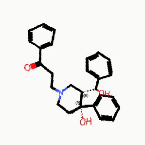 O=C(CCN1CC[C@](O)(c2ccccc2)[C@@H](C(O)c2ccccc2)C1)c1ccccc1